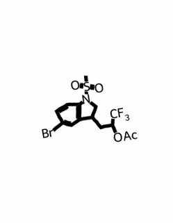 CC(=O)OC(CC1CN(S(C)(=O)=O)c2ccc(Br)cc21)C(F)(F)F